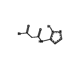 CCC(=O)CC(=O)Nc1ccnn1CC